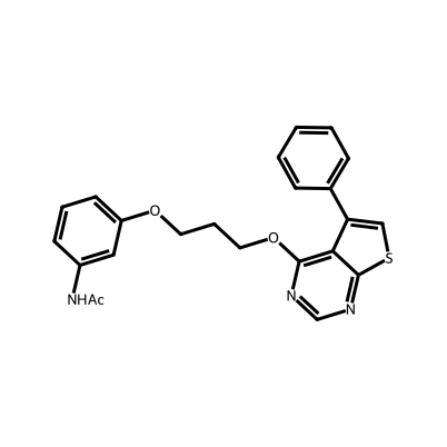 CC(=O)Nc1cccc(OCCCOc2ncnc3scc(-c4ccccc4)c23)c1